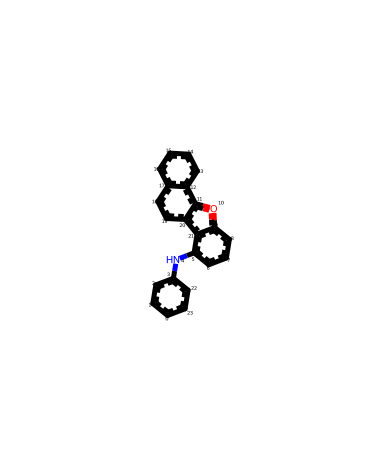 c1ccc(Nc2cccc3oc4c5ccccc5ccc4c23)cc1